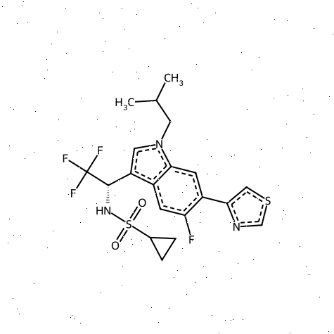 CC(C)Cn1cc([C@H](NS(=O)(=O)C2CC2)C(F)(F)F)c2cc(F)c(-c3cscn3)cc21